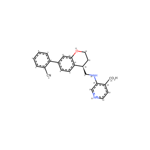 N#Cc1ccccc1-c1ccc2c(c1)OCC[C@H]2CNc1cnccc1C(=O)O